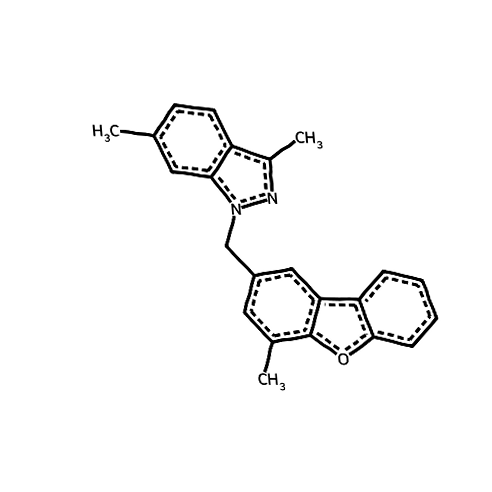 Cc1ccc2c(C)nn(Cc3cc(C)c4oc5ccccc5c4c3)c2c1